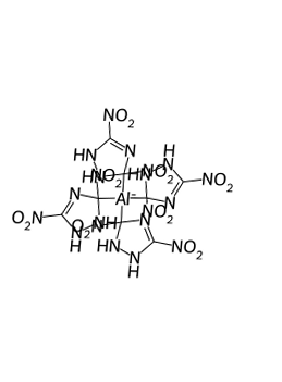 O=[N+]([O-])C1=N[C]([N+](=O)[O-])([Al-]([C]2([N+](=O)[O-])N=C([N+](=O)[O-])NN2)([C]2([N+](=O)[O-])N=C([N+](=O)[O-])NN2)[C]2([N+](=O)[O-])N=C([N+](=O)[O-])NN2)NN1